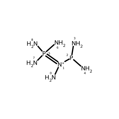 N[N+](P(N)N)=P(N)(N)N